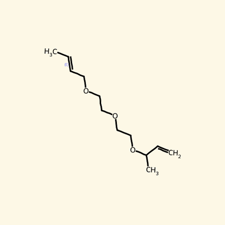 C=CC(C)OCCOCCOC/C=C/C